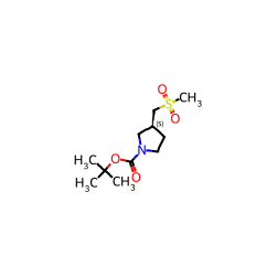 CC(C)(C)OC(=O)N1CC[C@H](CS(C)(=O)=O)C1